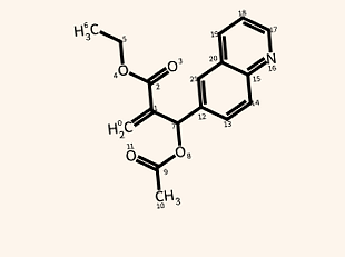 C=C(C(=O)OCC)C(OC(C)=O)c1ccc2ncccc2c1